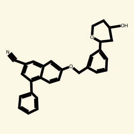 N#Cc1cc(-c2ccccc2)c2ccc(OCc3cccc(C4CC(O)CCO4)c3)cc2c1